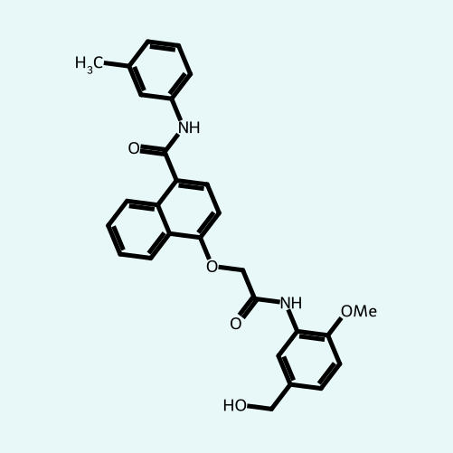 COc1ccc(CO)cc1NC(=O)COc1ccc(C(=O)Nc2cccc(C)c2)c2ccccc12